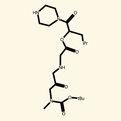 CC(C)CC(OC(=O)CNCC(=O)CN(C)C(=O)OC(C)(C)C)C(=O)N1CCNCC1